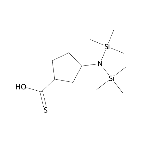 C[Si](C)(C)N(C1CCC(C(O)=S)C1)[Si](C)(C)C